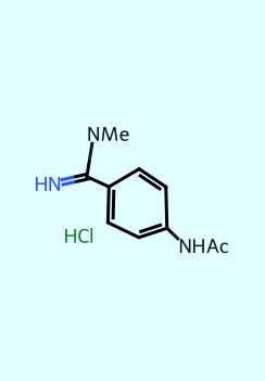 CNC(=N)c1ccc(NC(C)=O)cc1.Cl